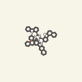 c1ccc(-n2c3ccccc3c3cccc(-c4nc(-c5ccc6ccccc6c5)nc(-c5c(-n6c7ccccc7c7cc8ccccc8cc76)ccc6c5oc5ccc7ccccc7c56)n4)c32)cc1